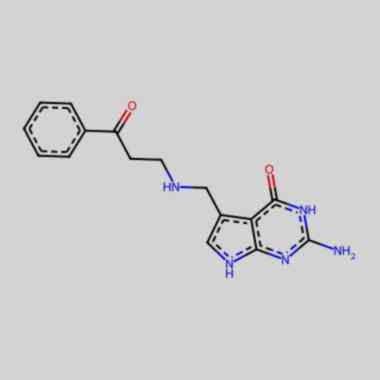 Nc1nc2[nH]cc(CNCCC(=O)c3ccccc3)c2c(=O)[nH]1